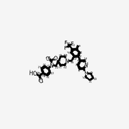 Cc1cc(-c2ccc(N3CCCC3)nc2)c(CN2CCC3(CC2)CN(c2ccc(C(=O)O)cc2)C(=O)O3)cc1C(F)(F)F